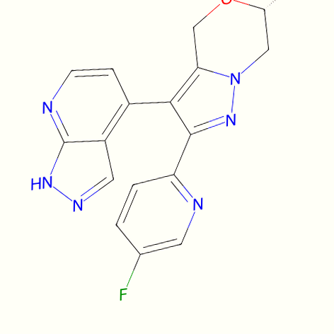 C[C@@H]1Cn2nc(-c3ccc(F)cn3)c(-c3ccnc4[nH]ncc34)c2CO1